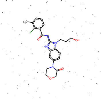 O=C(/N=c1\[nH]c2cc(N3CCOCC3=O)ccc2n1CCCO)c1cccc(C(F)(F)F)c1F